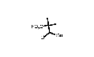 CC(C)(C)C(Cl)C(C)(C)C(=O)O